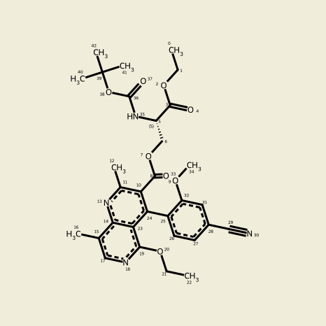 CCOC(=O)[C@H](COC(=O)c1c(C)nc2c(C)cnc(OCC)c2c1-c1ccc(C#N)cc1OC)NC(=O)OC(C)(C)C